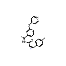 Cc1ccc(/C=C\C(=O)N[C@@H](C)c2cccc(Oc3ccncc3)c2)cc1